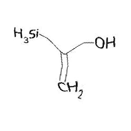 C=C(O)[SiH3]